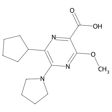 COc1nc(N2CCCC2)c(C2CCCC2)nc1C(=O)O